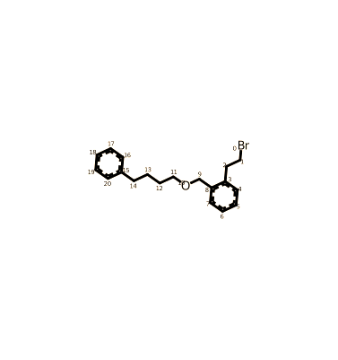 BrCCc1ccccc1COCCCCc1ccccc1